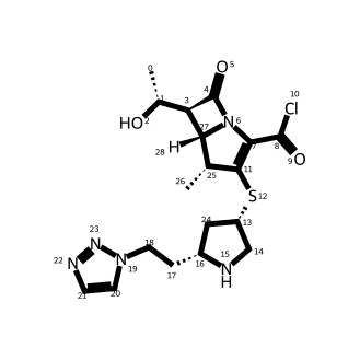 C[C@@H](O)[C@H]1C(=O)N2C(C(=O)Cl)=C(S[C@@H]3CN[C@H](CCn4ccnn4)C3)[C@H](C)[C@H]12